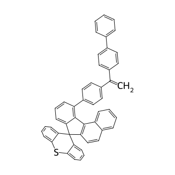 C=C(c1ccc(-c2ccccc2)cc1)c1ccc(-c2cccc3c2-c2c(ccc4ccccc24)C32c3ccccc3Sc3ccccc32)cc1